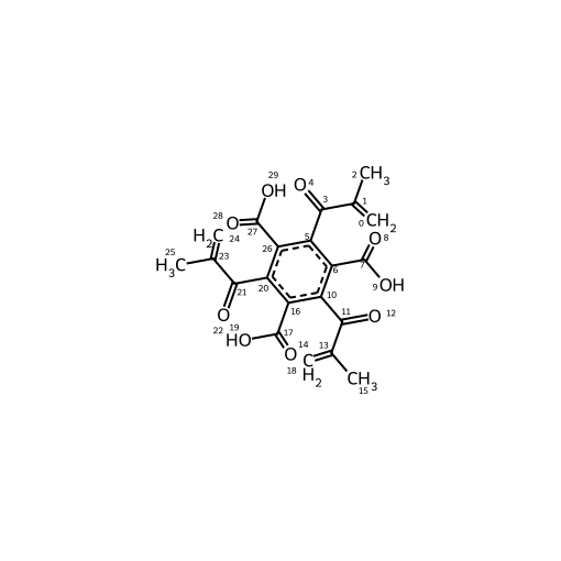 C=C(C)C(=O)c1c(C(=O)O)c(C(=O)C(=C)C)c(C(=O)O)c(C(=O)C(=C)C)c1C(=O)O